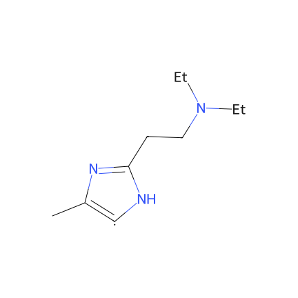 CCN(CC)CCc1nc(C)[c][nH]1